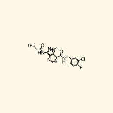 Cn1nc(NC(=O)CC(C)(C)C)c2ncnc(C(=O)NCc3ccc(F)c(Cl)c3)c21